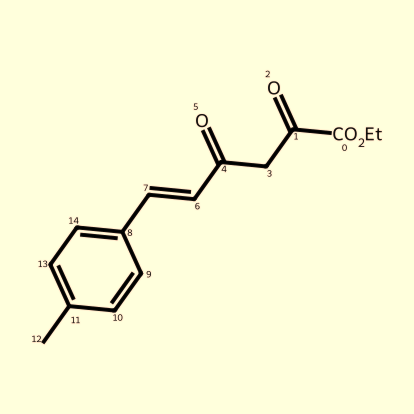 CCOC(=O)C(=O)CC(=O)C=Cc1ccc(C)cc1